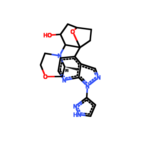 C[C@@H]1COCCN1C1C(O)CC2CCC1(c1ccnc3c1cnn3-c1cc[nH]n1)O2